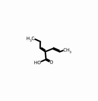 C/C=C/C(=C\CC)C(=O)O